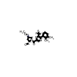 CO/N=C1\C[C@@H](C=O)N(C(=O)c2cnc(-c3cccc(C)c3C)c(C(F)(F)F)n2)C1